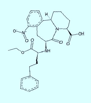 CCOC(=O)[C@H](CCc1ccccc1)N[C@H]1Cc2c(cccc2[N+](=O)[O-])[C@H]2CCC[C@@H](C(=O)O)N2C1=O